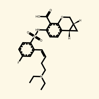 CCN(CC)CC/C=C\c1cc(F)ccc1S(=O)(=O)Nc1ccc2c(c1C(=O)O)OC[C@@H]1C[C@H]21